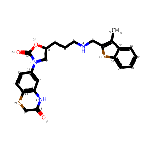 Cc1c(CNCCCC2CN(c3ccc4c(c3)NC(=O)CS4)C(=O)O2)sc2ccccc12